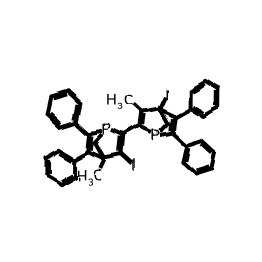 CC1=C(C2=C(I)C3(C)CP2C(c2ccccc2)=C3c2ccccc2)P2CC1(I)C(c1ccccc1)=C2c1ccccc1